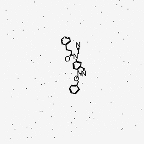 N#CCN(C(=O)CCc1ccccc1)c1ccc2c(cnn2OCc2ccccc2)c1